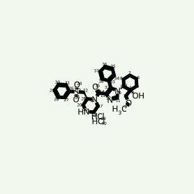 COC[C@]1(O)CCCC[C@H]1n1cnc(C(=O)N2CCNC[C@H]2CS(=O)(=O)c2ccccc2)c1-c1ccccc1.Cl.Cl